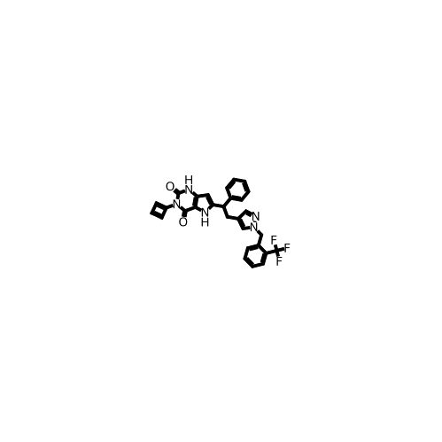 O=c1[nH]c2cc(C(Cc3cnn(Cc4ccccc4C(F)(F)F)c3)c3ccccc3)[nH]c2c(=O)n1C1=CC=C1